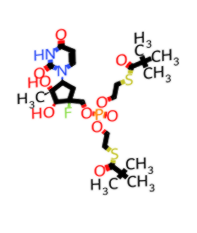 CC(C)(C)C(=O)SCCOP(=O)(OCCSC(=O)C(C)(C)C)OC[C@@]1(F)C[C@@H](n2ccc(=O)[nH]c2=O)[C@](C)(O)[C@@H]1O